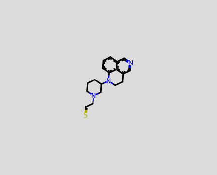 S=CCN1CCCC(N2CCc3cncc4cccc2c34)C1